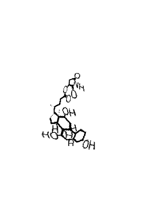 C[C@H](CCC(=O)OC1CC(=O)NC1=O)[C@H]1CC[C@H]2[C@@H]3[C@H](O)C[C@@H]4C[C@H](O)CC[C@]4(C)[C@H]3C[C@H](O)[C@]12C